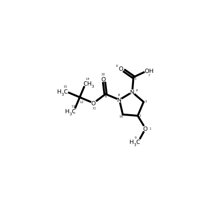 COC1CN(C(=O)O)N(C(=O)OC(C)(C)C)C1